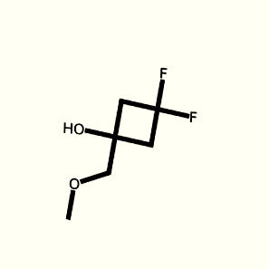 COCC1(O)CC(F)(F)C1